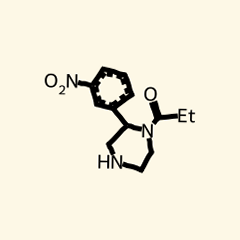 CCC(=O)N1CCNCC1c1cccc([N+](=O)[O-])c1